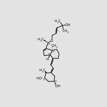 C=C1C(=CC=C2CCC[C@]3(C)C([C@@H](C)OC/C=C/C(C)(C)O)=CC[C@@H]23)C[C@@H](O)C[C@@H]1O